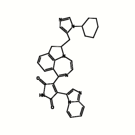 O=C1NC(=O)C(c2cnc3ccccn23)=C1C1=NC=CN2c3c(cccc31)CC2Cc1cncn1C1CCCCC1